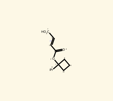 CC(C)C1(OC(=O)/C=C/C(=O)O)CCC1